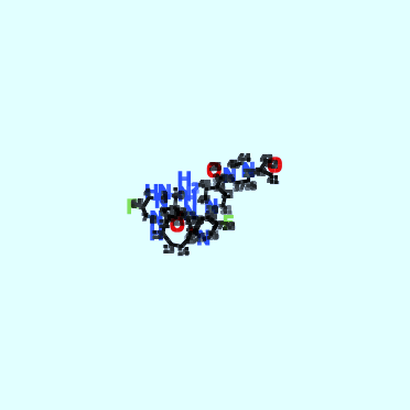 NC1NN2CC(F)CNC2(C2CCCCCCCC2)C1C(=O)Nc1cncc(F)c1N1CCC(C(=O)N2CCN(C3COC3)CC2)CC1